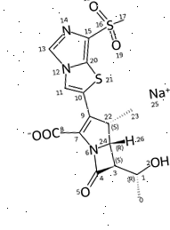 C[C@@H](O)[C@H]1C(=O)N2C(C(=O)[O-])=C(c3cn4cnc(S(C)(=O)=O)c4s3)[C@H](C)[C@H]12.[Na+]